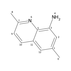 Cc1cc(N)c2nc(C)ccc2c1